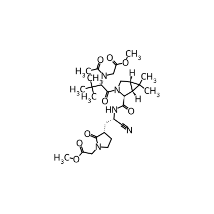 COC(=O)CN1CC[C@@H](C[C@@H](C#N)NC(=O)[C@@H]2[C@@H]3[C@H](CN2C(=O)[C@@H](N(CC(=O)OC)C(C)=O)C(C)(C)C)C3(C)C)C1=O